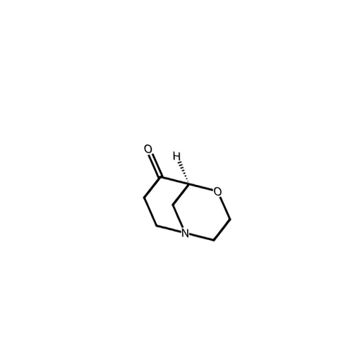 O=C1CCN2CCO[C@H]1C2